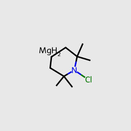 CC1(C)CCCC(C)(C)N1Cl.[MgH2]